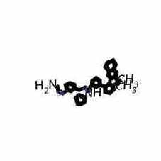 CC1(C)c2cc3ccccc3cc2-c2c(-c3cccc(/C(=C/Cc4cccc(/C=C\CN)c4)Nc4ccccc4)c3)cccc21